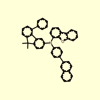 CC1(C)c2ccc(N(c3ccc(-c4ccc5ccccc5c4)cc3)c3cccc4c3oc3ccccc34)cc2-c2c(-c3ccccc3)cccc21